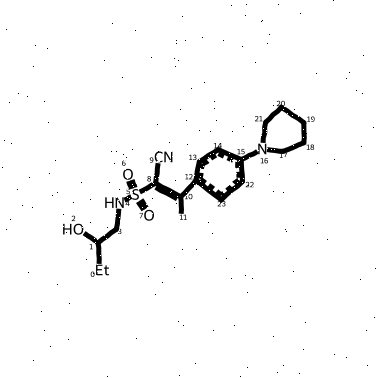 CCC(O)CNS(=O)(=O)/C(C#N)=C(\C)c1ccc(N2CCCCC2)cc1